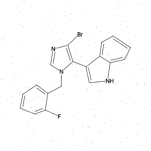 Fc1ccccc1Cn1cnc(Br)c1-c1c[nH]c2ccccc12